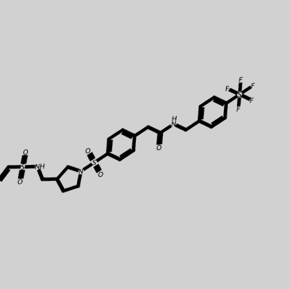 C=CS(=O)(=O)NCC1CCN(S(=O)(=O)c2ccc(CC(=O)NCc3ccc(S(F)(F)(F)(F)F)cc3)cc2)C1